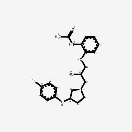 CC(=O)Nc1ccccc1OCC(O)CN1CCC(Oc2ccc(F)cc2)C1